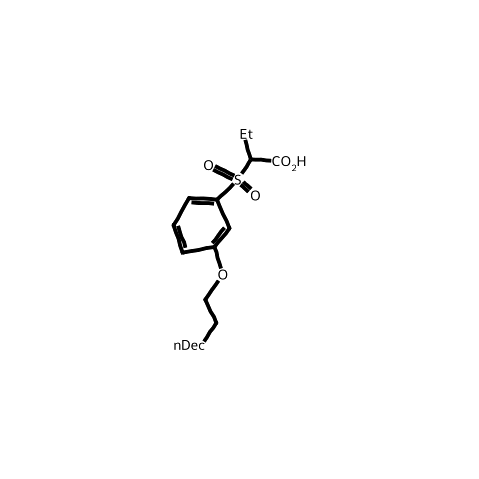 CCCCCCCCCCCCOc1cccc(S(=O)(=O)C(CC)C(=O)O)c1